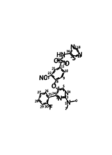 CN(C)c1ncc(Oc2ccc(S(=O)(=O)Nc3ncns3)cc2C#N)c(-c2ccccc2F)n1